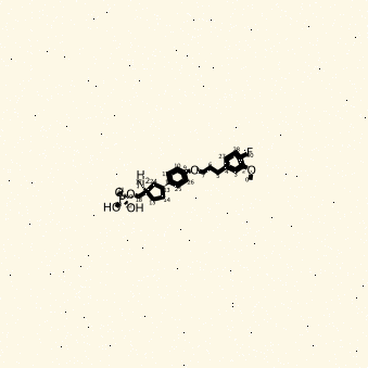 COc1cc(CCCOc2ccc([C@@H]3CC[C@](N)(COP(=O)(O)O)C3)cc2)ccc1F